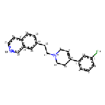 Fc1cccc(C2=CCN(CCc3ccc4ccncc4c3)CC2)c1